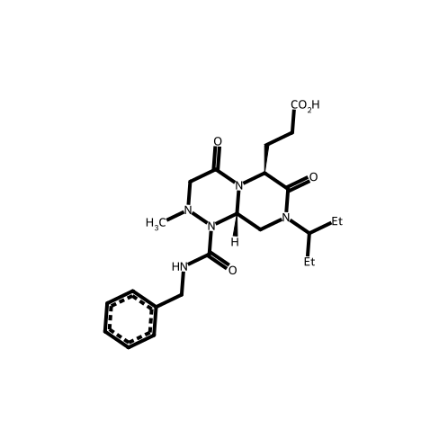 CCC(CC)N1C[C@H]2N(C(=O)CN(C)N2C(=O)NCc2ccccc2)[C@@H](CCC(=O)O)C1=O